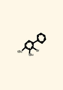 CC(C)(C)c1ccc(-c2ccccc2)c(Br)c1C(C)(C)C